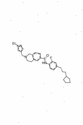 CCn1cc(CN2CCc3cc([S+]([O-])Nc4ccc(CCCC5CCCC5)cc4F)ccc3C2)cn1